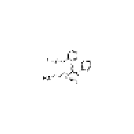 NCCC[C@@H](N)C(=O)Oc1ccccc1.O=C(O)Cc1ccccc1